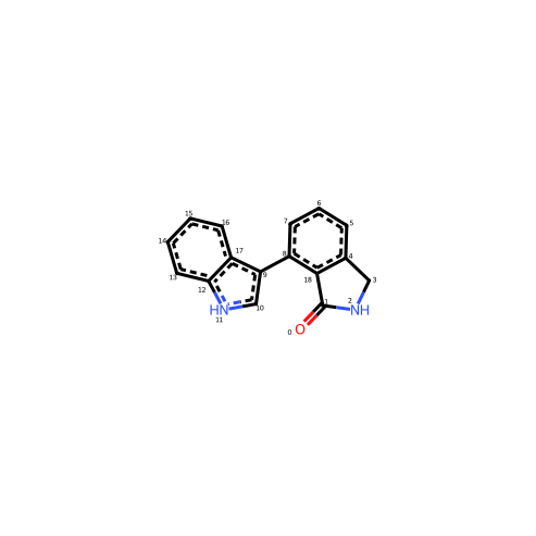 O=C1NCc2cccc(-c3c[nH]c4ccccc34)c21